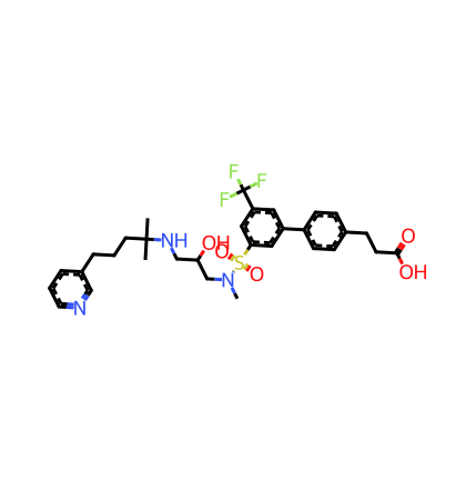 CN(CC(O)CNC(C)(C)CCCc1cccnc1)S(=O)(=O)c1cc(-c2ccc(CCC(=O)O)cc2)cc(C(F)(F)F)c1